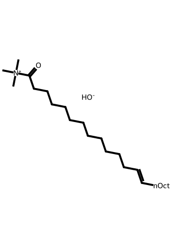 CCCCCCCCC=CCCCCCCCCCCCC(=O)[N+](C)(C)C.[OH-]